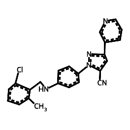 Cc1cccc(Cl)c1CNc1ccc(-n2nc(-c3cccnc3)cc2C#N)cc1